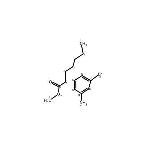 CCCCCCC(=O)OC.Nc1cccc(Br)c1